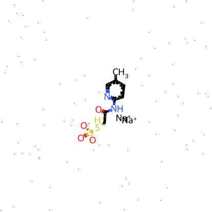 Cc1ccc(NC(=O)C[SH-]S(=O)(=O)[O-])nc1.[Na+].[Na+]